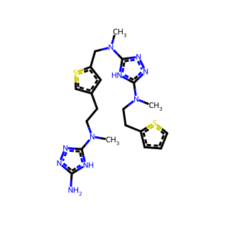 CN(CCc1csc(CN(C)c2nnc(N(C)CCc3cccs3)[nH]2)c1)c1nnc(N)[nH]1